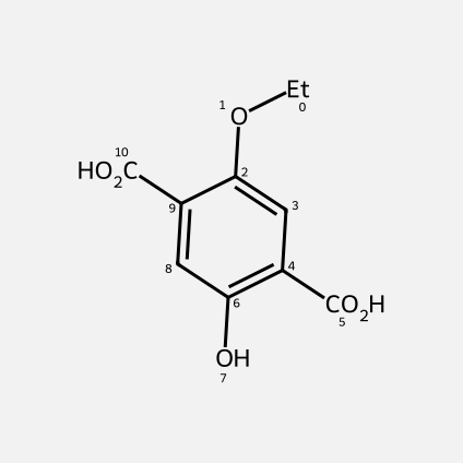 CCOc1cc(C(=O)O)c(O)cc1C(=O)O